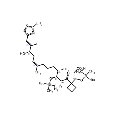 CC[C@@H](C(=O)C1([C@H](CC(=O)O)O[Si](C)(C)C(C)(C)C)CCC1)[C@@H](O[Si](C)(C)C(C)(C)C)[C@@H](C)CCC/C(C)=C\C[C@H](O)/C(F)=C/c1csc(C)n1